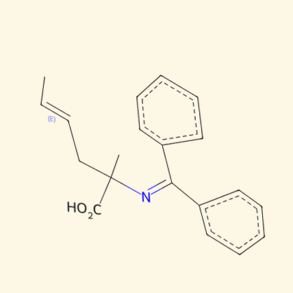 C/C=C/CC(C)(N=C(c1ccccc1)c1ccccc1)C(=O)O